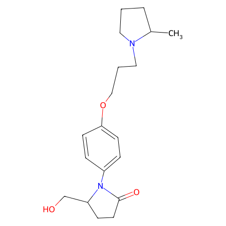 CC1CCCN1CCCOc1ccc(N2C(=O)CCC2CO)cc1